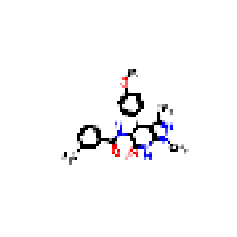 CCOc1ccc([C@@H]2c3c(C)nn(C)c3NC(O)[C@H]2NC(=O)c2cccc(C)c2)cc1